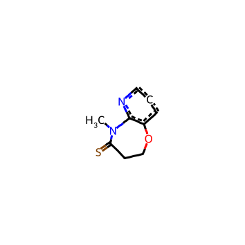 CN1C(=S)CCOc2cccnc21